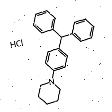 Cl.c1ccc(C(c2ccccc2)c2ccc(N3CCCCC3)cc2)cc1